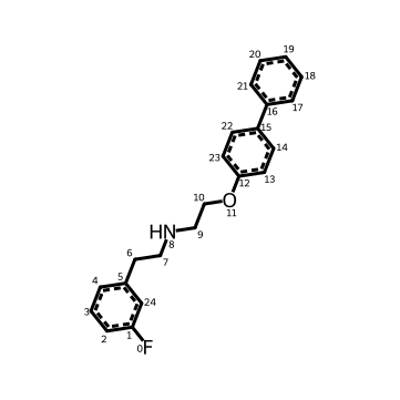 Fc1cccc(CCNCCOc2ccc(-c3ccccc3)cc2)c1